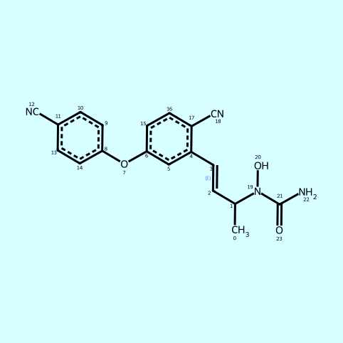 CC(/C=C/c1cc(Oc2ccc(C#N)cc2)ccc1C#N)N(O)C(N)=O